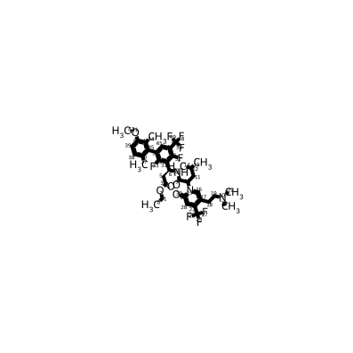 CCOC(=O)C[C@H](NC(=O)C(CC(C)C)n1cc(CCN(C)C)c(C(F)(F)F)cc1=O)c1c(F)c(-c2c(C)ccc(OC)c2C)cc(C(F)(F)F)c1F